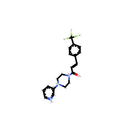 O=C(/C=C/c1ccc(C(F)(F)F)cc1)N1CCN(c2cccnc2)CC1